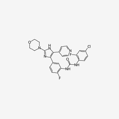 O=C(Nc1ccc(Cl)cc1F)Nc1cc(-c2nc(N3CCOCC3)[nH]c2-c2ccncc2)ccc1F